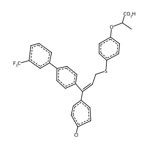 CC(Oc1ccc(SCC=C(c2ccc(Cl)cc2)c2ccc(-c3cccc(C(F)(F)F)c3)cc2)cc1)C(=O)O